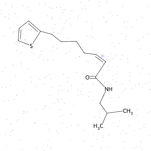 CC(C)CNC(=O)/C=C\CCCCc1cccs1